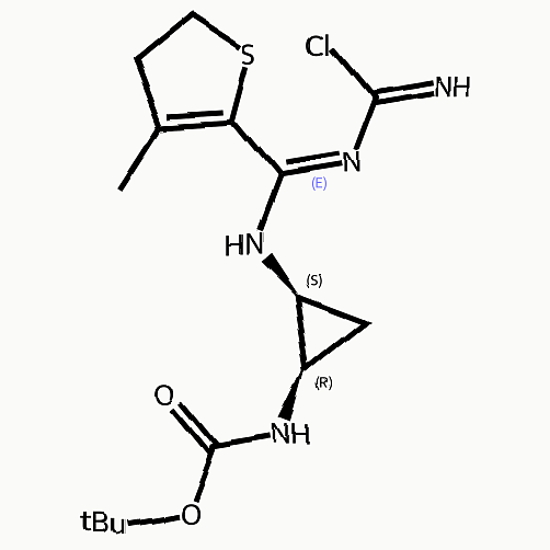 CC1=C(/C(=N\C(=N)Cl)N[C@H]2C[C@H]2NC(=O)OC(C)(C)C)SCC1